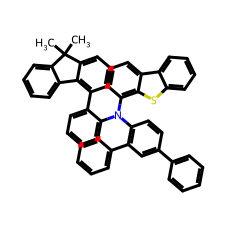 CC1(C)c2ccccc2-c2c(-c3ccccc3N(c3ccc(-c4ccccc4)cc3-c3ccccc3)c3cccc4c3sc3ccccc34)cccc21